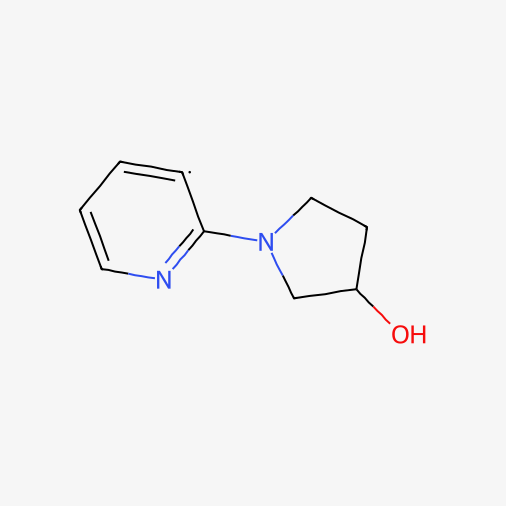 OC1CCN(c2[c]cccn2)C1